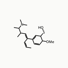 C/C=C\C(=C/C(C)C(C)N(C)C)C1=CC(SO)C(OC)C=C1